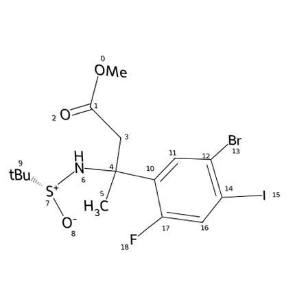 COC(=O)CC(C)(N[S@+]([O-])C(C)(C)C)c1cc(Br)c(I)cc1F